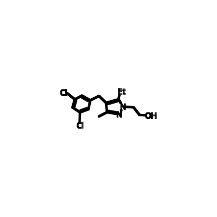 CCc1c(Cc2cc(Cl)cc(Cl)c2)c(C)nn1CCO